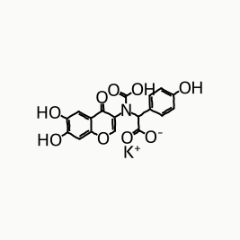 O=C([O-])C(c1ccc(O)cc1)N(C(=O)O)c1coc2cc(O)c(O)cc2c1=O.[K+]